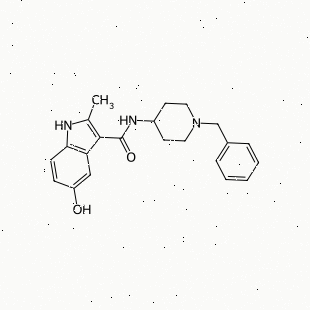 Cc1[nH]c2ccc(O)cc2c1C(=O)NC1CCN(Cc2ccccc2)CC1